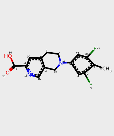 Cc1c(F)cc(N2CCc3cc(C(=O)O)ncc3C2)cc1F